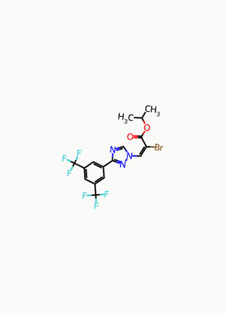 CC(C)OC(=O)/C(Br)=C\n1cnc(-c2cc(C(F)(F)F)cc(C(F)(F)F)c2)n1